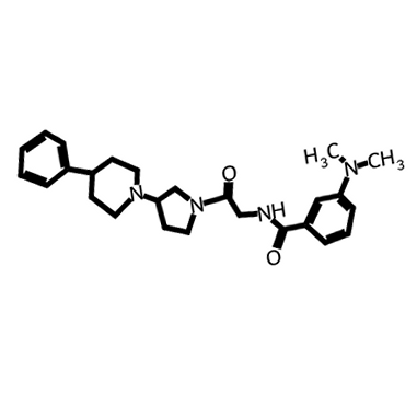 CN(C)c1cccc(C(=O)NCC(=O)N2CCC(N3CCC(c4ccccc4)CC3)C2)c1